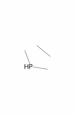 CC.CPC